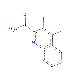 Cc1c(C(N)=O)nc2ccccc2c1C